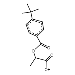 CC(OC(=O)c1ccc(C(C)(C)C)cc1)C(=O)O